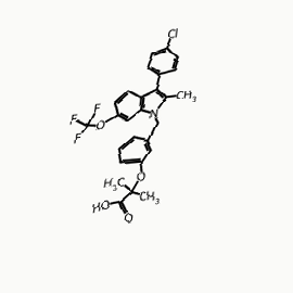 Cc1c(-c2ccc(Cl)cc2)c2ccc(OC(F)(F)F)cc2n1Cc1cccc(OC(C)(C)C(=O)O)c1